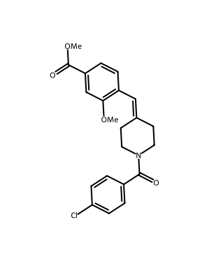 COC(=O)c1ccc(C=C2CCN(C(=O)c3ccc(Cl)cc3)CC2)c(OC)c1